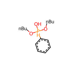 CCCCO[PH](O)(OCCCC)c1ccccc1